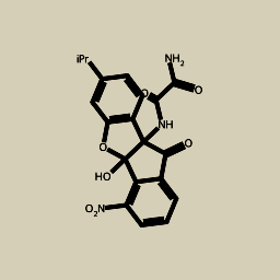 CC(C)c1ccc2c(c1)OC1(O)c3c(cccc3[N+](=O)[O-])C(=O)C21NC(=O)C(N)=O